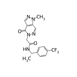 C[C@H](NC(=O)Cn1ncc2c(cnn2C)c1=O)c1ccc(C(F)(F)F)cc1